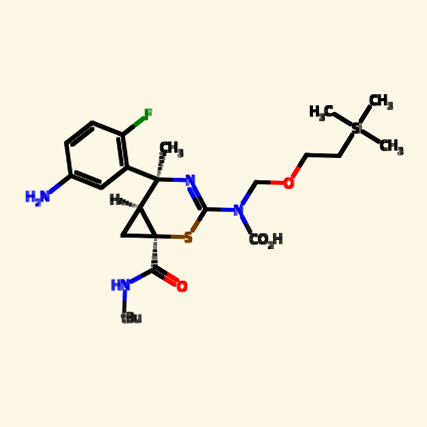 CC(C)(C)NC(=O)[C@]12C[C@H]1[C@@](C)(c1cc(N)ccc1F)N=C(N(COCC[Si](C)(C)C)C(=O)O)S2